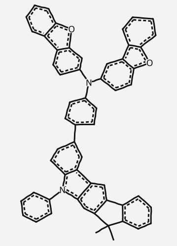 CC1(C)c2ccccc2-c2cc3c4cc(-c5ccc(N(c6ccc7c(c6)oc6ccccc67)c6ccc7oc8ccccc8c7c6)cc5)ccc4n(-c4ccccc4)c3cc21